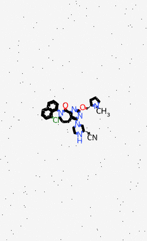 CN1CCC[C@H]1COc1nc2c(c(N3CCN[C@@H](CC#N)C3)n1)CCCN(c1cccc3cccc(Cl)c13)C2=O